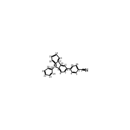 N#Cc1ccc(-c2ccc3c(c2)c2ccccc2n3-c2ccccc2)cc1